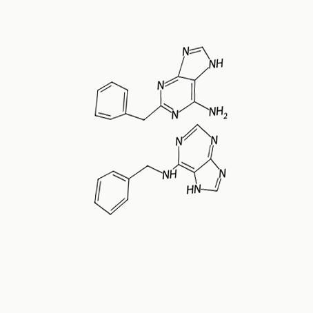 Nc1nc(Cc2ccccc2)nc2nc[nH]c12.c1ccc(CNc2ncnc3nc[nH]c23)cc1